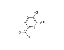 Cc1cc(C(=O)S)ccc1Cl